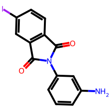 Nc1cccc(N2C(=O)c3ccc(I)cc3C2=O)c1